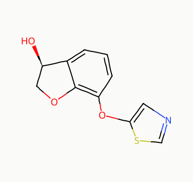 O[C@@H]1COc2c(Oc3cncs3)cccc21